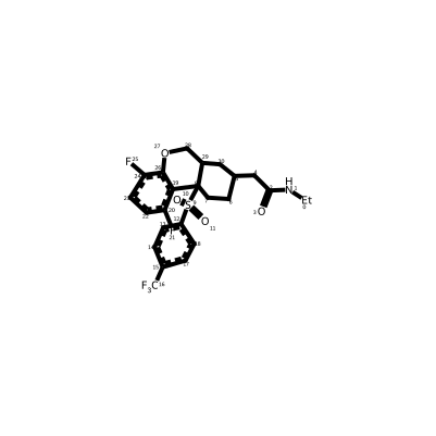 CCNC(=O)CC1CCC2(S(=O)(=O)c3ccc(C(F)(F)F)cc3)c3c(F)ccc(F)c3OCC2C1